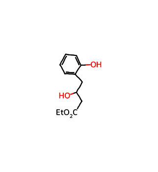 CCOC(=O)CC(O)Cc1ccccc1O